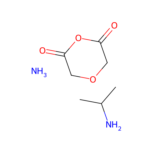 CC(C)N.N.O=C1COCC(=O)O1